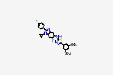 CC(C)(C)c1cc(-c2nnc(Nc3cc4nc(-c5ccc(F)cc5)n(C5CC5)c4cc3F)s2)cc(C(C)(C)C)c1